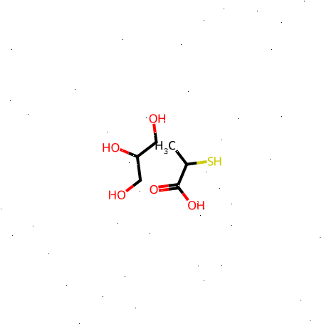 CC(S)C(=O)O.OCC(O)CO